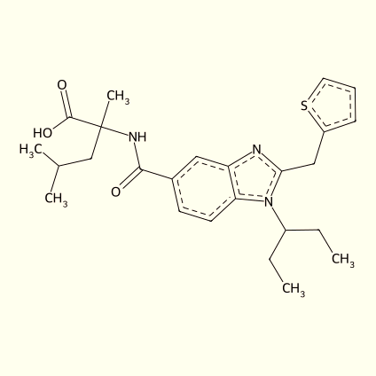 CCC(CC)n1c(Cc2cccs2)nc2cc(C(=O)NC(C)(CC(C)C)C(=O)O)ccc21